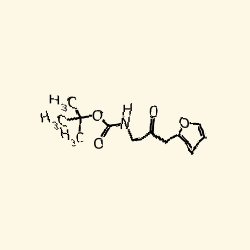 CC(C)(C)OC(=O)NCC(=O)Cc1ccco1